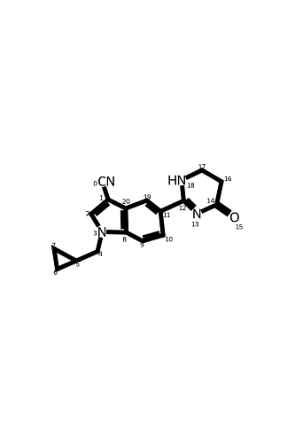 N#Cc1cn(CC2CC2)c2ccc(C3=NC(=O)CCN3)cc12